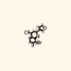 Cc1ccc2c(Cl)cc(-c3ccoc3)nc2c1Br